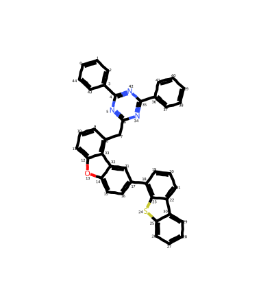 c1ccc(-c2nc(Cc3cccc4oc5ccc(-c6cccc7c6sc6ccccc67)cc5c34)nc(-c3ccccc3)n2)cc1